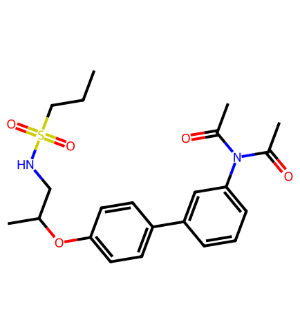 CCCS(=O)(=O)NCC(C)Oc1ccc(-c2cccc(N(C(C)=O)C(C)=O)c2)cc1